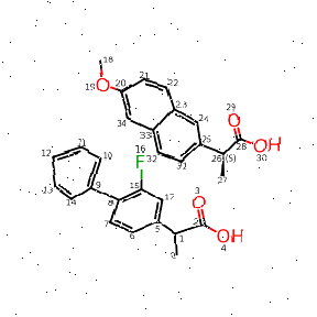 CC(C(=O)O)c1ccc(-c2ccccc2)c(F)c1.COc1ccc2cc([C@H](C)C(=O)O)ccc2c1